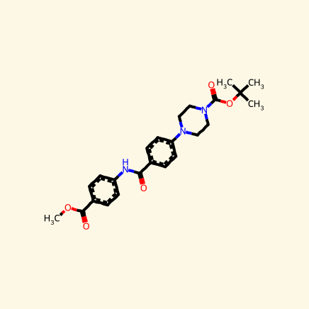 COC(=O)c1ccc(NC(=O)c2ccc(N3CCN(C(=O)OC(C)(C)C)CC3)cc2)cc1